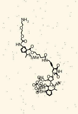 CSSC(C)c1ccc(NC(=O)COCCOCCN)cc1C(=O)OCCCCC(=O)NCC#Cc1cn([C@H]2CC(OC(=O)c3ccccc3C(C)N=[N+]=[N-])[C@@H](COP(=O)(O)OP(=O)(O)OP(=O)(O)O)O2)c(=O)[nH]c1=O